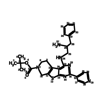 CC(C)(C)OC(=O)N1CCc2c(sc3nc(-c4ccncc4)nc(NCC(N)Cc4ccccc4)c23)C1